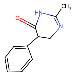 CC1=NCC(c2ccccc2)C(=O)N1